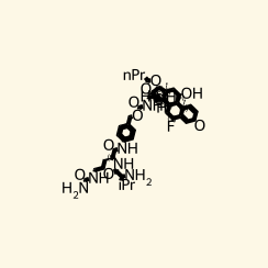 CCCC1O[C@@H]2C[C@H]3[C@@H]4C[C@H](F)C5=CC(=O)C=C[C@]5(C)C4[C@@H](O)C[C@]3(C)[C@]2(C(=O)CNC(=O)OCc2ccc(NC(=O)[C@H](CCCNC(N)=O)NC(=O)C(N)C(C)C)cc2)O1